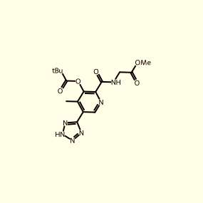 COC(=O)CNC(=O)c1ncc(-c2nn[nH]n2)c(C)c1OC(=O)C(C)(C)C